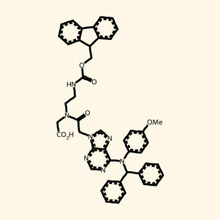 COc1ccc(N(c2ncnc3c2ncn3CC(=O)N(CCNC(=O)OCC2c3ccccc3-c3ccccc32)CC(=O)O)C(c2ccccc2)c2ccccc2)cc1